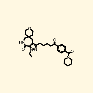 CCn1nc(CCCCC(=O)c2ccc(C(=O)N3CCCCC3)cc2)c2c1C(=O)NCC1(CCOCC1)C2